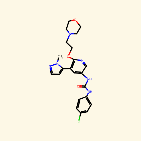 Cn1nccc1-c1cc(NC(=O)Nc2ccc(Cl)cc2)cnc1OCCN1CCOCC1